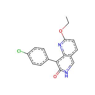 CCOc1ccc2c[nH]c(=O)c(-c3ccc(Cl)cc3)c2n1